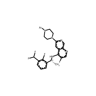 CC(=O)N1CCN(c2cc3c(N[C@H](C)c4cccc(C(F)F)c4F)c(F)cnc3cn2)CC1